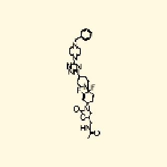 CC(=O)NCC1CN(C2C=CC(F)(N3CCC(n4nnc(N5CCN(Cc6ccccc6)CC5)n4)CC3)C(F)=C2)C(=O)O1